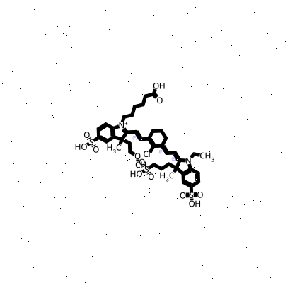 CCN1/C(=C/C=C2\CCCC(/C=C/C3=[N+](CCCCCC(=O)O)c4ccc(S(=O)(=O)O)cc4C3(C)CCOC)=C2Cl)C(C)(CCCS(=O)(=O)O)c2cc(S(=O)(=O)O)ccc21